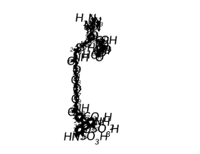 CC(C)(CNC(=O)CCOCCOCCOCCOCCNC(=O)c1ccc(-c2c3ccc(=N)c(S(=O)(=O)O)c-3oc3c(S(=O)(=O)O)c(N)ccc23)c(C(=O)O)c1)SSCOC1C[C@H](n2cnc3c(N)ncnc32)O[C@@H]1COP(=O)(O)OP(=O)(O)OP(=O)(O)O